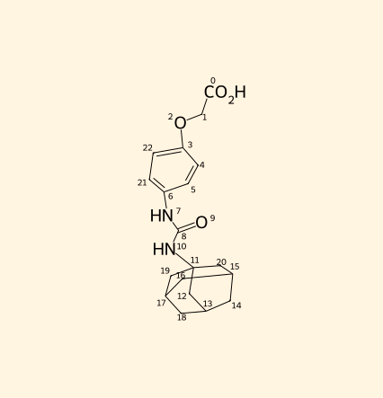 O=C(O)COc1ccc(NC(=O)NC23CC4CC(CC(C4)C2)C3)cc1